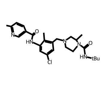 Cc1ccc(C(=O)Nc2cc(Cl)cc(CN3CCN(C(=O)NC(C)(C)C)C(C)C3)c2C)cn1